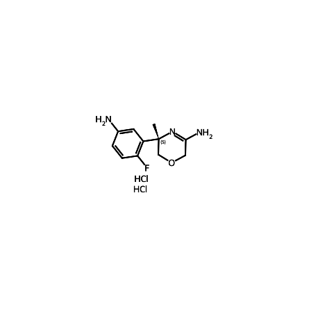 C[C@]1(c2cc(N)ccc2F)COCC(N)=N1.Cl.Cl